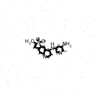 CC1=Cc2cc3nccc(Nc4cncc(N)c4)c3cc2S1(=O)=O